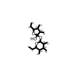 CCC1OC(OC2(O)OC(CC)C(C)C2C)C(C)C(C)C1C